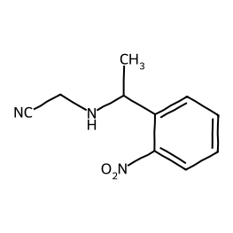 CC(NCC#N)c1ccccc1[N+](=O)[O-]